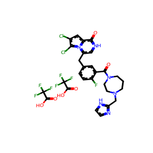 O=C(O)C(F)(F)F.O=C(O)C(F)(F)F.O=C(c1cc(Cc2c[nH]c(=O)c3cc(Cl)c(Cl)n23)ccc1F)N1CCCN(Cc2ncc[nH]2)CC1